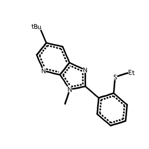 CCSc1ccccc1-c1nc2cc(C(C)(C)C)cnc2n1C